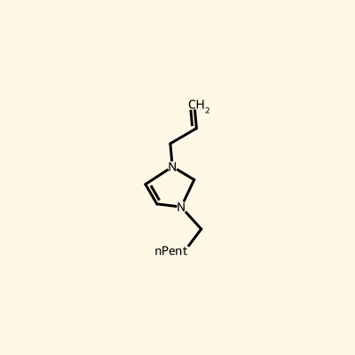 C=CCN1C=CN(CCCCCC)C1